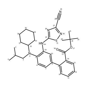 CC(C)CN(c1ccc(-c2ccccc2C(=O)OC(C)(C)C)cc1Nc1nc(C#N)ns1)C1CCCCC1